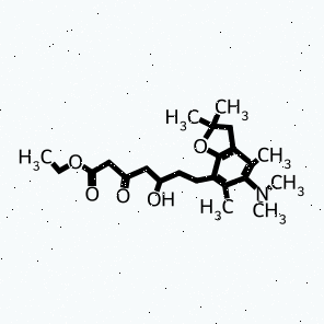 CCOC(=O)CC(=O)CC(O)CCc1c(C)c(N(C)C)c(C)c2c1OC(C)(C)C2